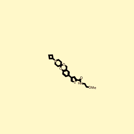 COCCNC(=O)c1cc(-c2ccc3c(c2)COC2(CCN(C4CCC4)CC2)O3)cs1